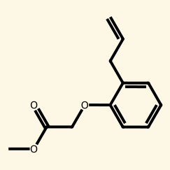 C=CCc1ccccc1OCC(=O)OC